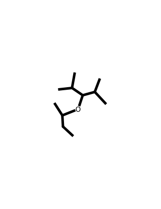 CCC(C)OC(C(C)C)C(C)C